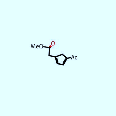 COC(=O)CC1=CC=C(C(C)=O)C1